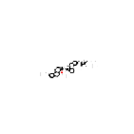 C[C@]1(C(=O)NC(=O)[C@@]2(C)CCC[C@]3(C)c4cc(NC(=O)[C@H](CO)NC(=O)O)ccc4CC[C@@H]23)CCC[C@]2(C)c3cc(N)ccc3CC[C@@H]12